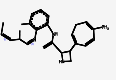 C=C(Nc1cccc(C)c1/N=C\C(C)/C=C\C)C1NCC1C1=CCC=C(P)C=C1